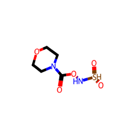 O=C(ON[SH](=O)=O)N1CCOCC1